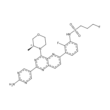 C[C@H]1COCCN1c1nc(-c2cnc(N)nc2)nc2ccc(-c3cccc(NS(=O)(=O)CCCF)c3F)nc12